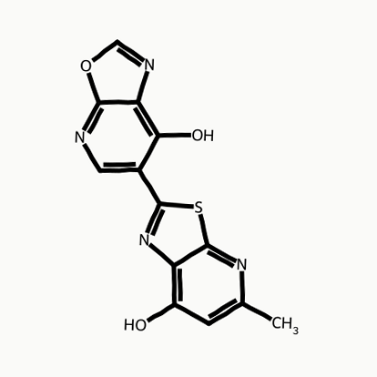 Cc1cc(O)c2nc(-c3cnc4ocnc4c3O)sc2n1